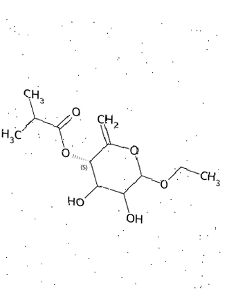 C=C1OC(OCC)C(O)C(O)[C@@H]1OC(=O)C(C)C